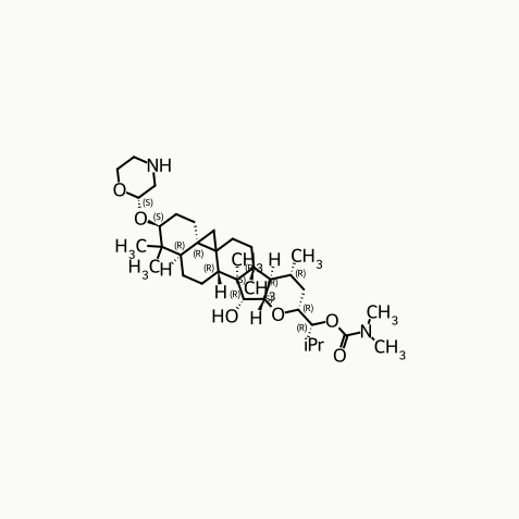 CC(C)[C@@H](OC(=O)N(C)C)[C@H]1C[C@@H](C)[C@H]2[C@H](O1)[C@H](O)[C@@]1(C)[C@@H]3CC[C@H]4C(C)(C)[C@@H](O[C@H]5CNCCO5)CC[C@@]45CC35CC[C@]21C